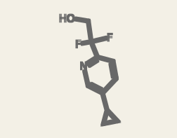 OCC(F)(F)c1ccc(C2CC2)cn1